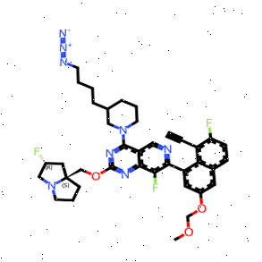 C#Cc1c(F)ccc2cc(OCOC)cc(-c3ncc4c(N5CCCC(CCCCN=[N+]=[N-])C5)nc(OC[C@@]56CCCN5C[C@H](F)C6)nc4c3F)c12